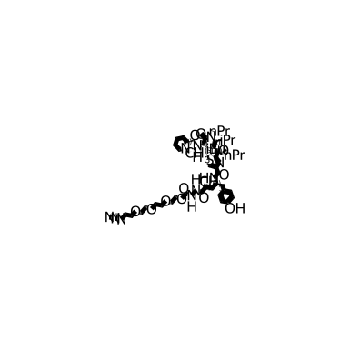 CCCO[C@H](C[C@H](C(C)C)N(CCC)C(=O)[C@@H](NC(=O)[C@H]1CCCCN1C)[C@@H](C)CC)c1nc(C(=O)N[C@@H](Cc2ccc(O)cc2)C[C@H](C)C(=O)NNC(=O)OCCOCCOCCOCCN=[N+]=[N-])cs1